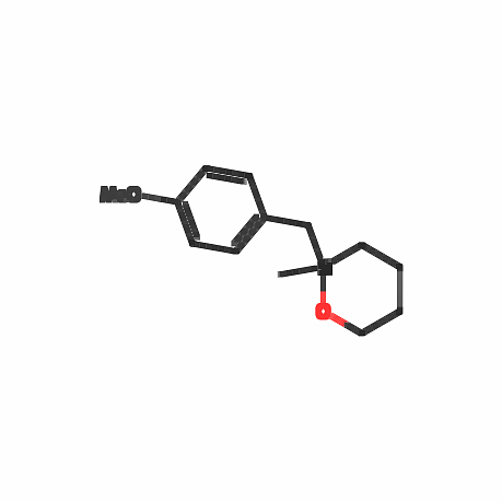 COc1ccc(C[Si]2(C)CCCCO2)cc1